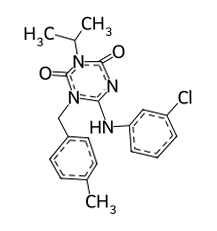 Cc1ccc(Cn2c(Nc3cccc(Cl)c3)nc(=O)n(C(C)C)c2=O)cc1